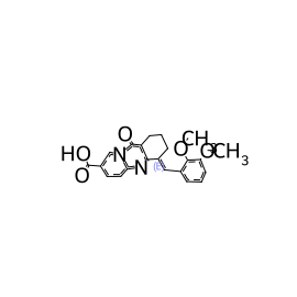 COc1cccc(/C=C2\CCCc3c2nc2ccc(C(=O)O)cn2c3=O)c1OC